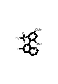 COc1cc(OC)c(-c2cc(F)cc3cccnc23)c(S(N)(=O)=O)c1